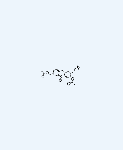 CC(=O)OCC1=CC=C(Cc2ccc(OC(C)=O)c(CC[Si](C)(C)C)c2)C(=S=O)C1